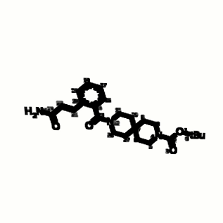 CC(C)(C)OC(=O)N1CCC2(CC1)CCN(C(=O)c1ccccc1C=CC(N)=O)CC2